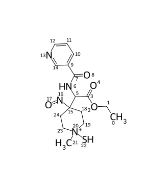 CCOC(=O)C(NC(=O)c1cccnc1)C1(N=O)CC[N+](C)(S)CC1